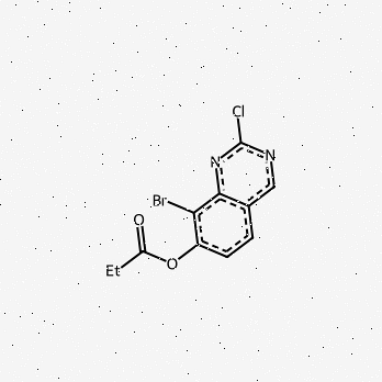 CCC(=O)Oc1ccc2cnc(Cl)nc2c1Br